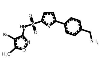 Cc1onc(NS(=O)(=O)c2ccc(-c3ccc(CN)cc3)s2)c1Br